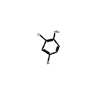 CCCCc1ccc(Br)cc1Cl